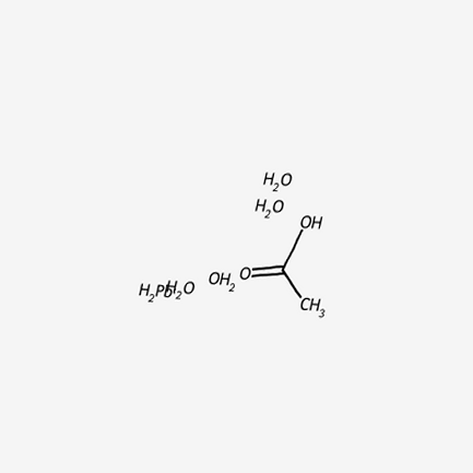 CC(=O)O.O.O.O.O.[PbH2]